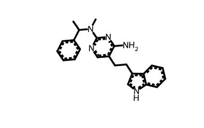 CC(c1ccccc1)N(C)c1ncc(CCc2c[nH]c3ccccc23)c(N)n1